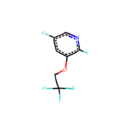 Fc1cnc(F)c(OCC(F)(F)F)c1